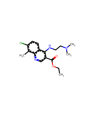 CCOC(=O)c1cnc2c(C)c(Cl)ccc2c1NCCN(C)C